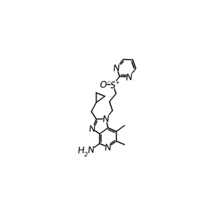 Cc1nc(N)c2nc(CC3CC3)n(CCC[S+]([O-])c3ncccn3)c2c1C